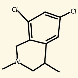 CC1CN(C)Cc2c(Cl)cc(Cl)cc21